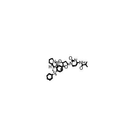 CC[C@H]1O[C@@H](n2ccc(NC(=O)C(C)C)nc2=O)CC1O[P@]1O[C@H](C[Si](C)(c2ccccc2)c2ccccc2)[C@@H]2CCCN21